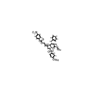 COc1ccc(S(=O)(=O)N(CCCCOC(=O)Oc2ccc([N+](=O)[O-])cc2)C[C@@H](O)[C@H](Cc2ccccc2)NC(=O)OC(C)(C)C)cc1